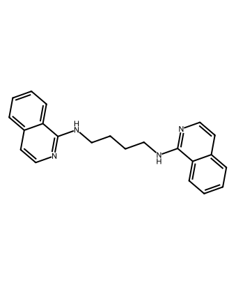 c1ccc2c(NCCCCNc3nccc4ccccc34)nccc2c1